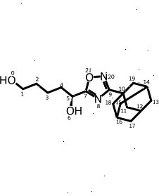 OCCCC[C@H](O)c1nc(C23CC4CC(CC(C4)C2)C3)no1